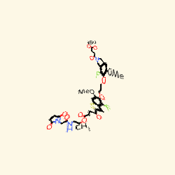 COc1cc2c(c(F)c1OCCCOc1c(OC)cc3sc(C(=O)CCC(=O)O[C@H](C)CNC(=O)CN4C(=O)C=CC4=O)cc3c1F)CN(C(=O)CCC(=O)OC(C)(C)C)C2